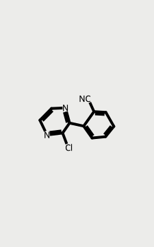 N#Cc1ccccc1-c1nccnc1Cl